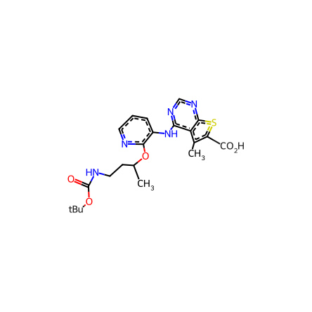 Cc1c(C(=O)O)sc2ncnc(Nc3cccnc3OC(C)CCNC(=O)OC(C)(C)C)c12